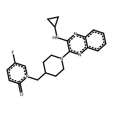 O=c1ccc(F)cn1CC1CCN(c2nc3ccccc3nc2NC2CC2)CC1